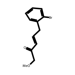 COCC(=O)/C=C/Cc1ccccc1Br